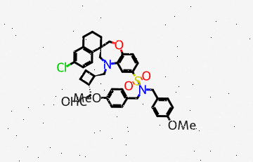 COc1ccc(CN(Cc2ccc(OC)cc2)S(=O)(=O)c2ccc3c(c2)N(C[C@@H]2CC[C@H]2CC=O)C[C@@]2(CCCc4cc(Cl)ccc42)CO3)cc1